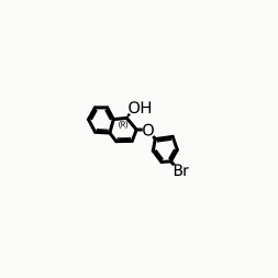 O[C@@H]1c2ccccc2C=CC1Oc1ccc(Br)cc1